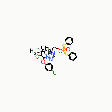 CC(C)(C)C(=O)C(Oc1ccc(Cl)cc1)n1cncn1.CCOP(=O)(Sc1ccccc1)Sc1ccccc1